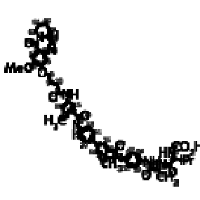 COc1cc2c(cc1OCCCC(=O)Nc1cc(C(=O)Nc3ccc(-c4cc(C(=O)Nc5ccc(NC(=O)[C@H](C)NC(=O)[C@@H](NC(=O)O)C(C)C)cc5)n(C)c4)cc3)n(C)c1)N=C[C@@H]1CCCCN1C2=O